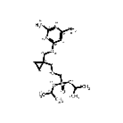 CC(C)OP(=O)(COCC1(COc2cc(N)nc(N)n2)CC1)OC(C)C